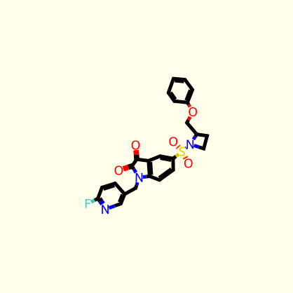 O=C1C(=O)N(Cc2ccc(F)nc2)c2ccc(S(=O)(=O)N3CCC3COc3ccccc3)cc21